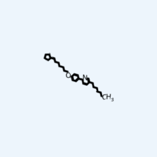 CCCCCCCc1ccc(-c2ccc(OCCCCCCCC3CCCC3)cc2)nc1